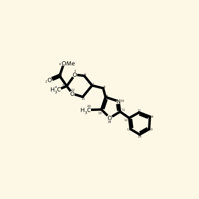 COC(=O)C1(C)OCC(Cc2nc(-c3ccccc3)oc2C)CO1